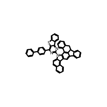 c1ccc(-c2ccc(-c3nc(-n4c5ccc6ccccc6c5c5cc6c7c(c54)-c4ccccc4CC7c4ccccc4-6)nc4c3sc3ccccc34)cc2)cc1